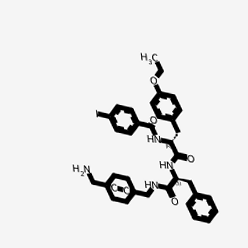 CCOc1ccc(C[C@@H](NC(=O)c2ccc(I)cc2)C(=O)N[C@@H](Cc2ccccc2)C(=O)NCC23CCC(CN)(CC2)CC3)cc1